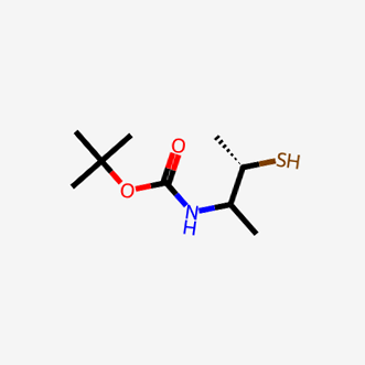 CC(NC(=O)OC(C)(C)C)[C@H](C)S